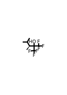 CC(C)[C@H](C)C(O)(C(F)(F)F)C(F)(F)F